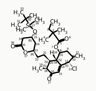 CCC(C)(C)C(=O)O[C@H]1C[C@@H](C)[C@H](Cl)C2=CC(=O)[C@@H](C)[C@@H](CC[C@@H]3C[C@@H](O[Si](C)(C)C(C)(C)C)CC(=O)O3)[C@@H]21